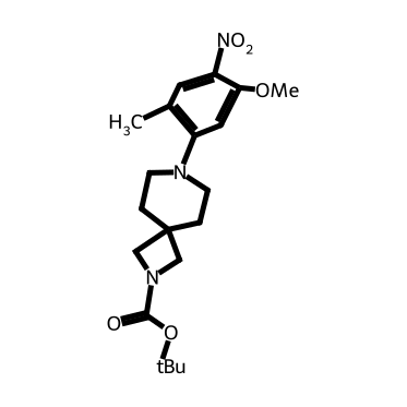 COc1cc(N2CCC3(CC2)CN(C(=O)OC(C)(C)C)C3)c(C)cc1[N+](=O)[O-]